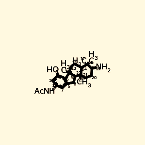 CC(=O)Nc1cc(O)c2c(c1)CC1C2(C)CCC2C(C)(C)C(N)CCC12C